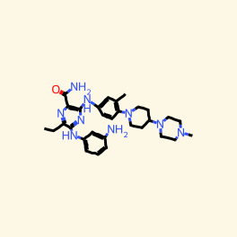 CCc1nc(C(N)=O)c(Nc2ccc(N3CCC(N4CCN(C)CC4)CC3)c(C)c2)nc1Nc1cccc(N)c1